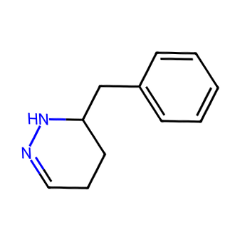 C1=NNC(Cc2ccccc2)CC1